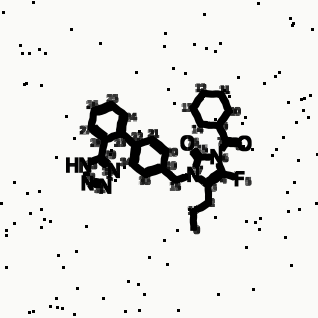 CCCc1c(F)n(C(=O)C2CCCCC2)c(=O)n1Cc1ccc(-c2ccccc2-c2nnn[nH]2)cc1